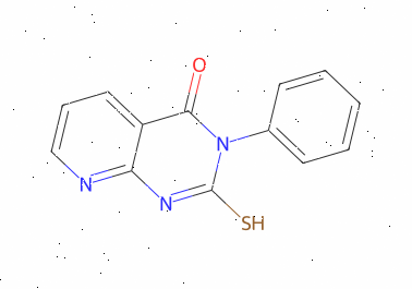 O=c1c2cccnc2nc(S)n1-c1ccccc1